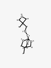 CC1(COCC23OCC(C)(CO2)CO3)COC1